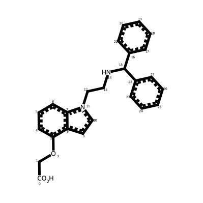 O=C(O)COc1cccc2c1ccn2CCNC(c1ccccc1)c1ccccc1